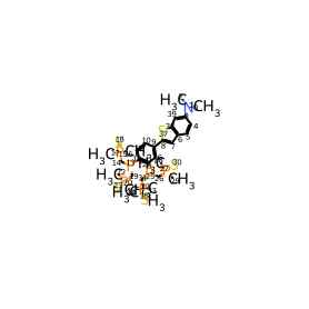 CN(C)c1ccc2cc(-c3ccc(P(CP(C)(C)=S)CP(C)(C)=S)c(P(CP(C)(C)=S)CP(C)(C)=S)c3)sc2c1